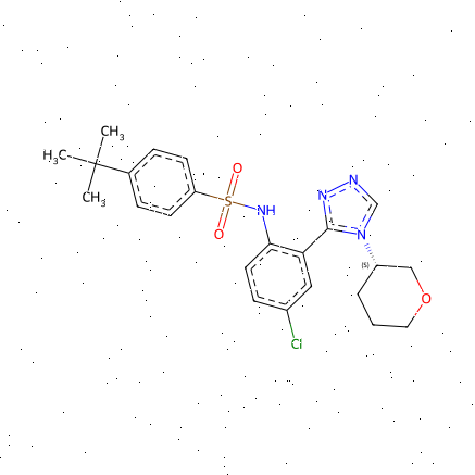 CC(C)(C)c1ccc(S(=O)(=O)Nc2ccc(Cl)cc2-c2nncn2[C@H]2CCCOC2)cc1